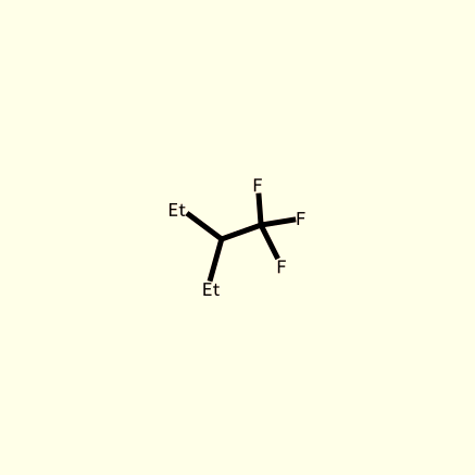 [CH2]CC(C[CH2])C(F)(F)F